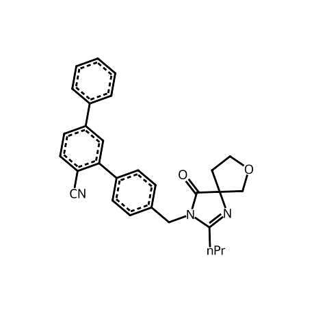 CCCC1=NC2(CCOC2)C(=O)N1Cc1ccc(-c2cc(-c3ccccc3)ccc2C#N)cc1